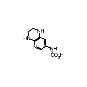 O=C(O)Nc1cnc2c(c1)NCCN2